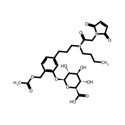 CCCCN(CCCc1ccc(COC(C)=O)c(O[C@@H]2O[C@H](C(=O)O)[C@@H](O)[C@H](O)[C@H]2O)c1)C(=O)CN1C(=O)C=CC1=O